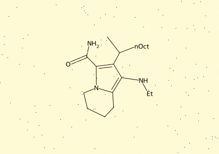 CCCCCCCCC(C)c1c(NCC)c2n(c1C(N)=O)CCCC2